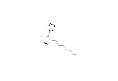 CN1C=CN(CCCCCCN)C1c1ncc[nH]1